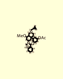 COC1C[C@H](N(CC(C)C)C(=O)c2ccccc2)CC2(c3cccc(OC(C)=O)c3)CCN(CC3CC3)CC12